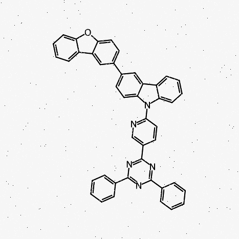 c1ccc(-c2nc(-c3ccccc3)nc(-c3ccc(-n4c5ccccc5c5cc(-c6ccc7oc8ccccc8c7c6)ccc54)nc3)n2)cc1